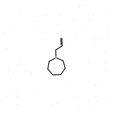 C=CC[N+]1CCCCCC1